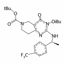 CC(C)COn1c(N[C@@H](C)c2ccc(C(F)(F)F)cc2)nc2c(c1=O)CN(C(=O)OC(C)(C)C)CC2